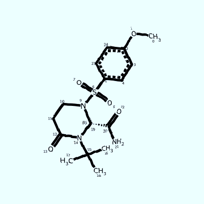 COc1ccc(S(=O)(=O)N2CCC(=O)N(C(C)(C)C)[C@H]2C(N)=O)cc1